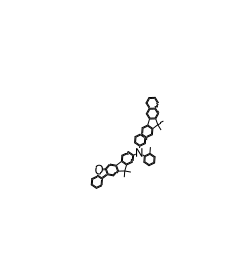 Cc1ccccc1N(c1ccc2c(c1)C(C)(C)c1cc3c(cc1-2)oc1ccccc13)c1ccc2cc3c(cc2c1)C(C)(C)c1cc2ccccc2cc1-3